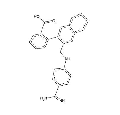 N=C(N)c1ccc(NCc2cc3ccccc3cc2-c2ccccc2C(=O)O)cc1